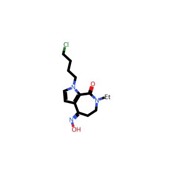 CCN1CCC(=NO)c2ccn(CCCCCl)c2C1=O